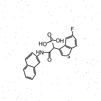 O=C(Nc1ccc2ccccc2c1)C(c1csc2ccc(F)cc12)P(=O)(O)O